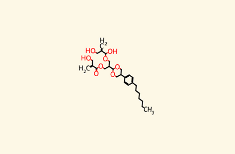 C=C(CO)C(=O)OCC(COC(O)C(=C)CO)C1OCC(c2ccc(CCCCCCC)cc2)CO1